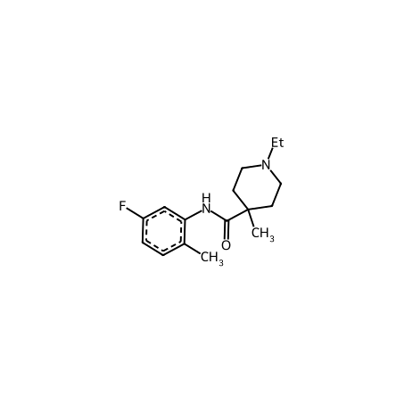 CCN1CCC(C)(C(=O)Nc2cc(F)ccc2C)CC1